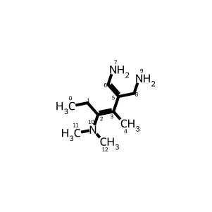 CC/C(=C(C)\C(=C\N)CN)N(C)C